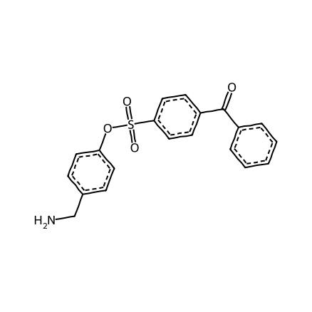 NCc1ccc(OS(=O)(=O)c2ccc(C(=O)c3ccccc3)cc2)cc1